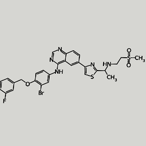 CC(NCCS(C)(=O)=O)c1nc(-c2ccc3ncnc(Nc4ccc(OCc5cccc(F)c5)c(Br)c4)c3c2)cs1